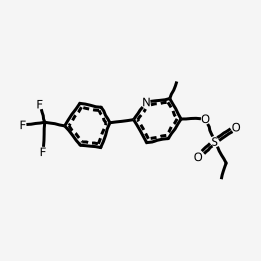 CCS(=O)(=O)Oc1ccc(-c2ccc(C(F)(F)F)cc2)nc1C